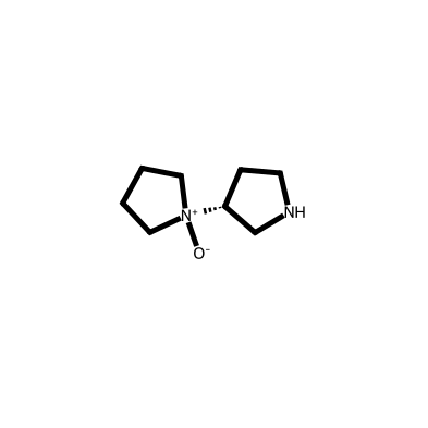 [O-][N+]1([C@@H]2CCNC2)CCCC1